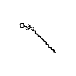 CCCCCCCCCCCCCCCCCCOC1COC(c2ccccc2)OC1